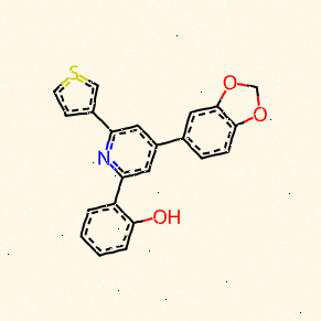 Oc1ccccc1-c1cc(-c2ccc3c(c2)OCO3)cc(-c2ccsc2)n1